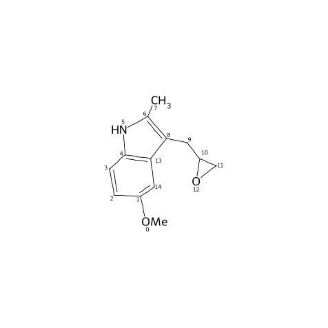 COc1ccc2[nH]c(C)c(CC3CO3)c2c1